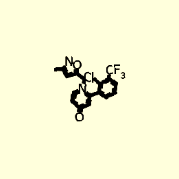 Cc1cc(Cn2ccc(=O)cc2-c2cccc(C(F)(F)F)c2Cl)on1